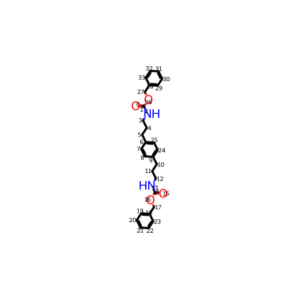 O=C(NCCCc1ccc(CCCNC(=O)OCc2ccccc2)cc1)OCc1ccccc1